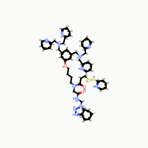 O=C(CN(CCCCOc1cc(CN(Cc2ccccn2)Cc2ccccn2)cc(CN(Cc2ccccn2)Cc2ccccn2)c1)C(=O)CCSSc1ccccn1)NCn1nnc2ccccc21